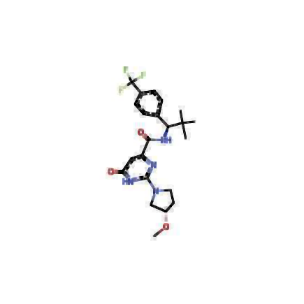 CO[C@H]1CCN(c2nc(C(=O)N[C@@H](c3ccc(C(F)(F)F)cc3)C(C)(C)C)cc(=O)[nH]2)C1